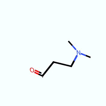 CN(C)CC[C]=O